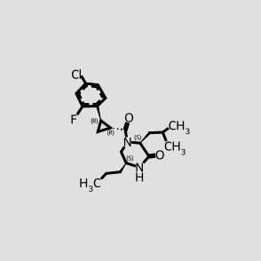 CCC[C@H]1CN(C(=O)[C@@H]2C[C@H]2c2ccc(Cl)cc2F)[C@@H](CC(C)C)C(=O)N1